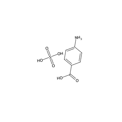 Nc1ccc(C(=O)O)cc1.O=S(=O)(O)O